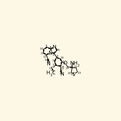 CSc1cc(-c2cnc3cccc(C#N)n23)cc(OC[C@]2(N)CCSC2)c1C#N